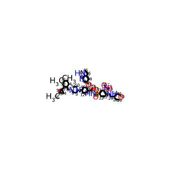 CC1(C)CCC(CN2CCN(c3ccc(C(=O)NS(=O)(=O)c4ccc(NCC5CCOCC5)c([N+](=O)[O-])c4)c(Oc4cnc5[nH]ccc5c4)c3)CC2)=C(C23CC(C)(C2)C3)C1